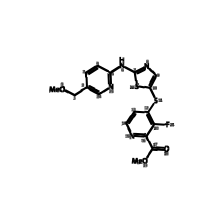 COCc1ccc(Nc2ncc(Sc3ccnc(C(=O)OC)c3F)s2)nc1